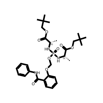 C[C@H](NP(=O)(N[C@@H](C)C(=O)OCC(C)(C)C)OCOc1ccccc1C(=O)Nc1ccccc1)C(=O)OCC(C)(C)C